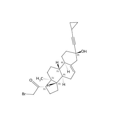 C[C@]12CC[C@H]3[C@@H](CC=C4C[C@@](O)(C#CC5CC5)CC[C@@H]43)[C@@H]1CC[C@@H]2C(=O)CBr